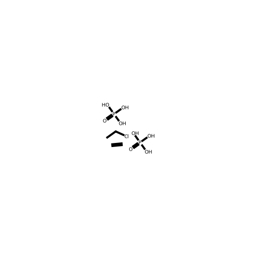 C=C.CCCl.O=P(O)(O)O.O=P(O)(O)O